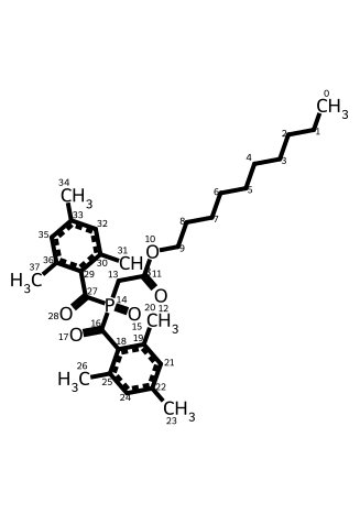 CCCCCCCCCCOC(=O)CP(=O)(C(=O)c1c(C)cc(C)cc1C)C(=O)c1c(C)cc(C)cc1C